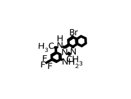 Cc1nc(NC(C)c2cc(N)cc(C(F)(F)F)c2)c2cc(Br)c3c(c2n1)CCCC3